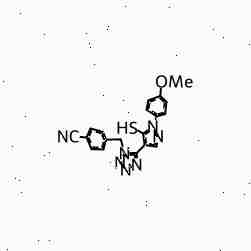 COc1ccc(-n2ncc(-c3nnnn3Cc3ccc(C#N)cc3)c2S)cc1